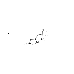 BC(O)(CC1=CC(=O)CN1)C(F)(F)F